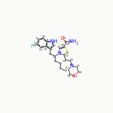 CCCCC(Cc1c[nH]c2ccc(F)cc12)N1C=C(C(N)=O)SC1CCN1CCOCC1